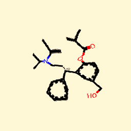 CC(C)C(=O)Oc1ccc(CO)cc1[C@@H](CCN(C(C)C)C(C)C)c1ccccc1